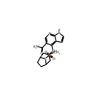 CS(=O)(=O)N1C2CCC1CC(Nc1c(C(N)=O)cnc3[nH]ccc13)C2